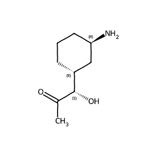 CC(=O)[C@@H](O)[C@@H]1CCC[C@@H](N)C1